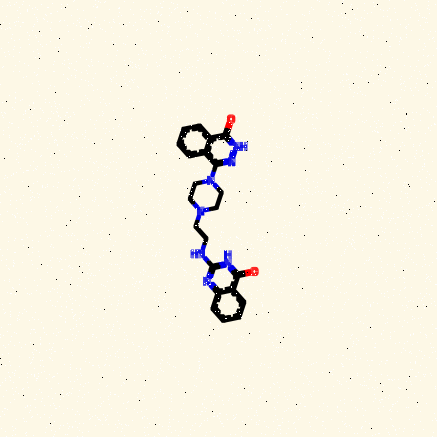 O=c1[nH]c(NCCN2CCN(c3n[nH]c(=O)c4ccccc34)CC2)nc2ccccc12